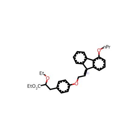 CCCOc1cccc2c1-c1ccccc1/C2=C\COc1ccc(CC(OCC)C(=O)OCC)cc1